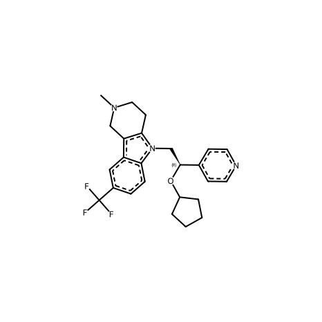 CN1CCc2c(c3cc(C(F)(F)F)ccc3n2C[C@H](OC2CCCC2)c2ccncc2)C1